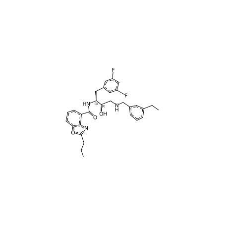 CCCc1nc2c(C(=O)N[C@@H](Cc3cc(F)cc(F)c3)[C@H](O)CNCc3cccc(CC)c3)cccc2o1